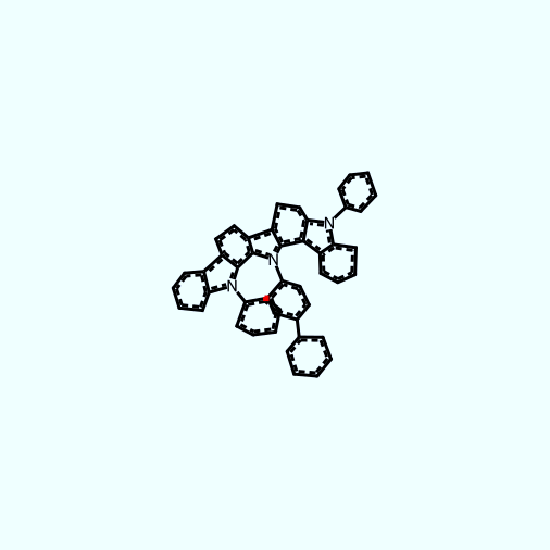 c1ccc(-c2ccc(-n3c4c(ccc5c4c4ccccc4n5-c4ccccc4)c4ccc5c6ccccc6n(-c6ccccc6)c5c43)cc2)cc1